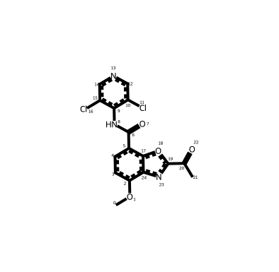 COc1ccc(C(=O)Nc2c(Cl)cncc2Cl)c2oc(C(C)=O)nc12